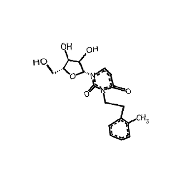 Cc1ccccc1CCn1c(=O)ccn([C@@H]2O[C@H](CO)C(O)C2O)c1=O